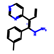 C=C/C(=C(\NN)c1cccc(C)c1)c1ccncn1